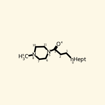 CCCCCCCCCC(=O)N1CCN(C)CC1